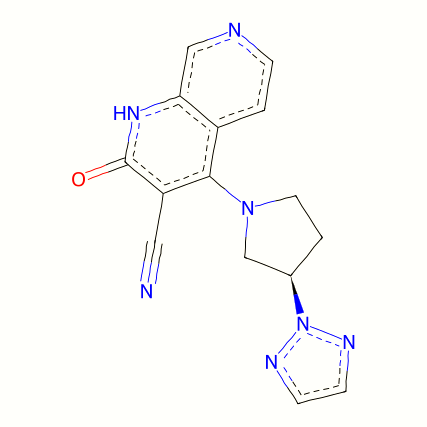 N#Cc1c(N2CC[C@@H](n3nccn3)C2)c2ccncc2[nH]c1=O